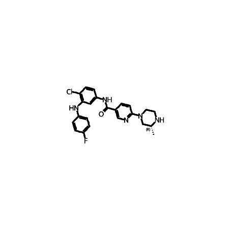 C[C@@H]1CN(c2ccc(C(=O)Nc3ccc(Cl)c(Nc4ccc(F)cc4)c3)cn2)CCN1